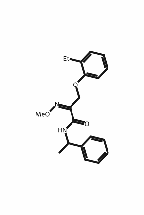 CCc1ccccc1OCC(=NOC)C(=O)NC(C)c1ccccc1